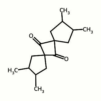 CC1CC2(CC1C)C(=O)C1(CC(C)C(C)C1)C2=O